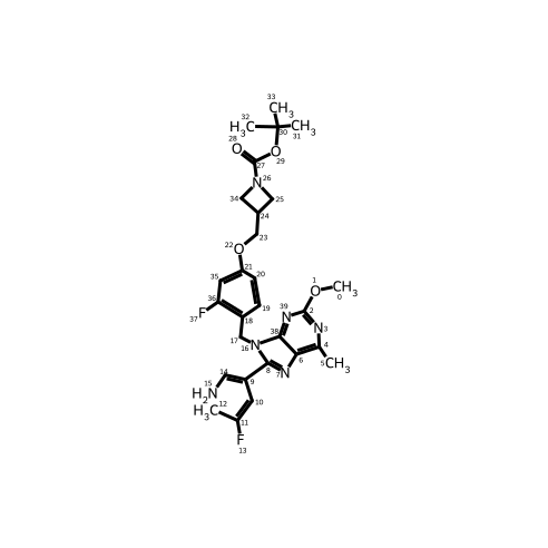 COc1nc(C)c2nc(C(/C=C(\C)F)=C/N)n(Cc3ccc(OCC4CN(C(=O)OC(C)(C)C)C4)cc3F)c2n1